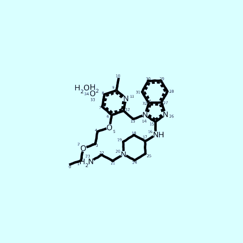 CCOCCOc1ccc(C)nc1Cn1c(NC2CCN(CCN)CC2)nc2ccccc21.O.O